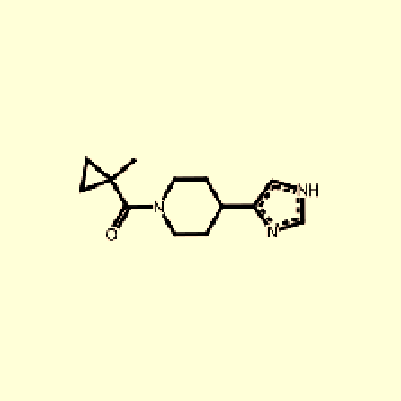 CC1(C(=O)N2CCC(c3c[nH]cn3)CC2)CC1